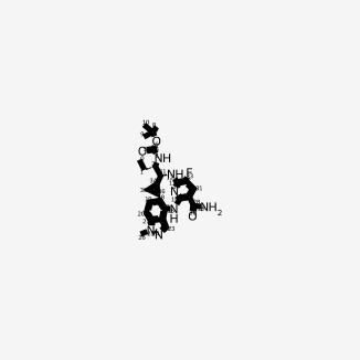 CC[C@H](NC(=O)OC(C)(C)C)[C@H](Nc1nc(Nc2cccc3c2cnn3C)c(C(N)=O)cc1F)C1CC1